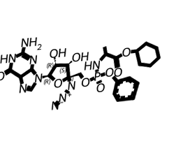 CC(NP(=O)(OC[C@@]1(N=[N+]=[N-])O[C@@H](N2C=NC3C(=O)NC(N)=NC32)[C@H](O)[C@@H]1O)Oc1ccccc1)C(=O)OC1CCCCC1